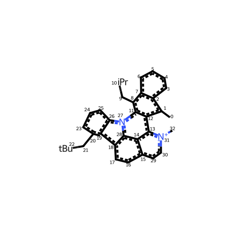 Cc1c2ccccc2c(CC(C)C)c2c1c1c3c(ccc4c5c(CC(C)(C)C)cccc5n2c43)cc[n+]1C